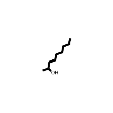 CCCCC/C=C/C(C)O